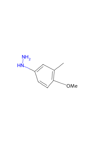 COc1ccc(NN)cc1C